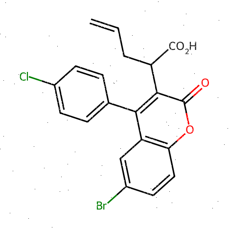 C=CCC(C(=O)O)c1c(-c2ccc(Cl)cc2)c2cc(Br)ccc2oc1=O